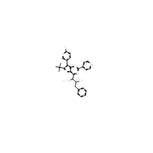 CC(C)(C)c1sc2c(C(N)C(N)Cc3ccccc3)nc(-c3ccncc3)nc2c1-c1ccc(F)nc1